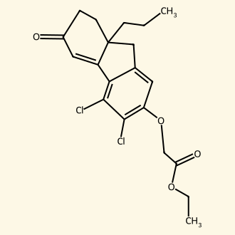 CCCC12CCC(=O)C=C1c1c(cc(OCC(=O)OCC)c(Cl)c1Cl)C2